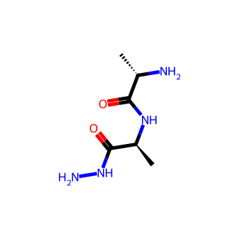 C[C@H](N)C(=O)N[C@@H](C)C(=O)NN